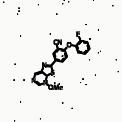 CON1C=NC=C2N=C(c3ccc(Oc4ccccc4F)c(C#N)c3)SC21